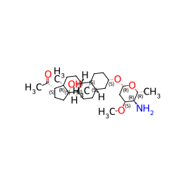 CO[C@H]1C[C@H](O[C@H]2CC[C@@]3(C)[C@@H](CC[C@@H]4[C@@H]3CC[C@]3(C)[C@@H](C(C)=O)CC[C@]43O)C2)O[C@H](C)[C@H]1N